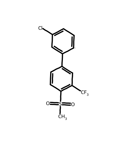 CS(=O)(=O)c1ccc(-c2[c]ccc(Cl)c2)cc1C(F)(F)F